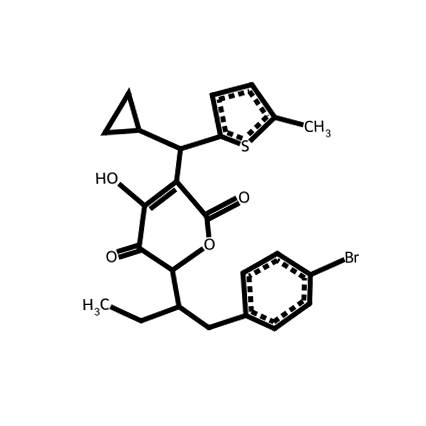 CCC(Cc1ccc(Br)cc1)C1OC(=O)C(C(c2ccc(C)s2)C2CC2)=C(O)C1=O